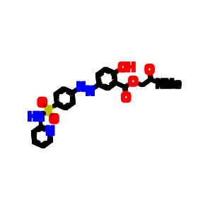 CNC(=O)COC(=O)c1cc(N=Nc2ccc(S(=O)(=O)Nc3ccccn3)cc2)ccc1O